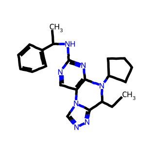 CCC1c2nncn2-c2cnc(NC(C)c3ccccc3)nc2N1C1CCCC1